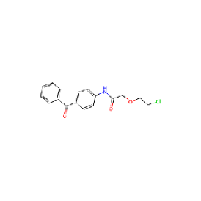 O=C(COCCCl)Nc1ccc(C(=O)c2ccccc2)cc1